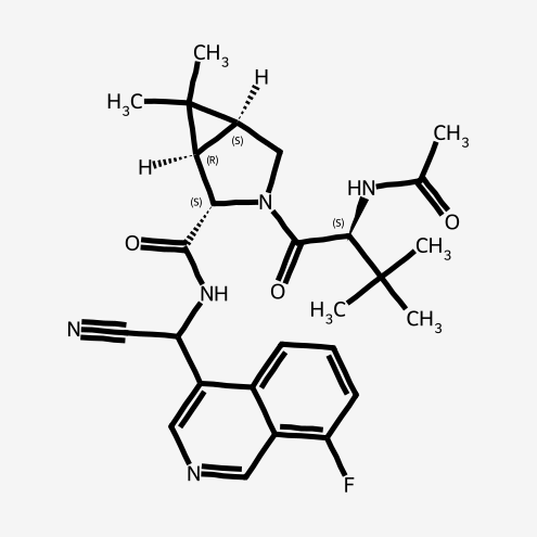 CC(=O)N[C@H](C(=O)N1C[C@H]2[C@@H]([C@H]1C(=O)NC(C#N)c1cncc3c(F)cccc13)C2(C)C)C(C)(C)C